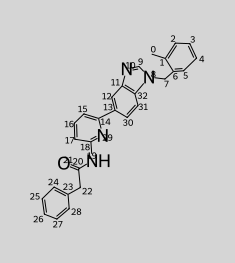 Cc1ccccc1Cn1cnc2cc(-c3cccc(NC(=O)Cc4ccccc4)n3)ccc21